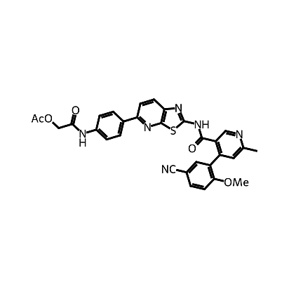 COc1ccc(C#N)cc1-c1cc(C)ncc1C(=O)Nc1nc2ccc(-c3ccc(NC(=O)COC(C)=O)cc3)nc2s1